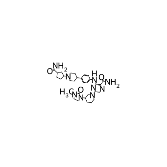 CN1CCN(C2CCCN(c3cnc(C(N)=O)c(Nc4ccc(C5CCN(C6CCC(C(N)=O)C6)CC5)cc4)n3)C2)C1=O